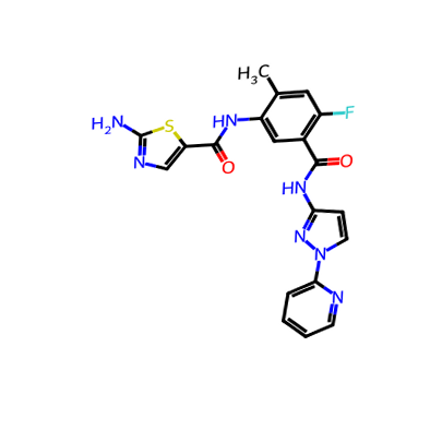 Cc1cc(F)c(C(=O)Nc2ccn(-c3ccccn3)n2)cc1NC(=O)c1cnc(N)s1